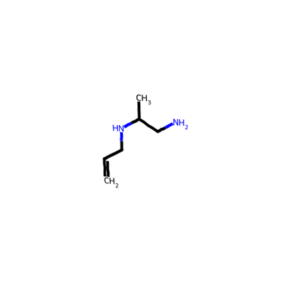 C=CCNC(C)CN